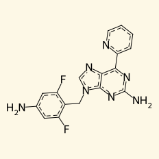 Nc1cc(F)c(Cn2cnc3c(-c4ccccn4)nc(N)nc32)c(F)c1